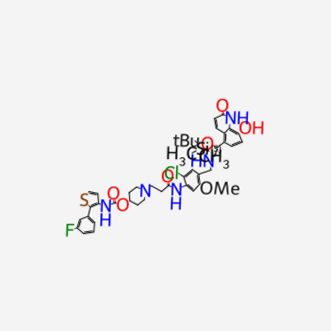 COc1cc(NC(=O)CCN2CCC(OC(=O)Nc3ccsc3-c3cccc(F)c3)CC2)c(Cl)cc1CNC[C@@H](O[Si](C)(C)C(C)(C)C)c1ccc(O)c2[nH]c(=O)ccc12